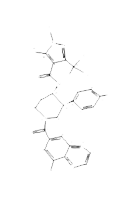 Cn1nc(C(F)(F)F)c(C(=O)N[C@@H]2CCN(C(=O)c3cc(Cl)c4nccnc4c3)C[C@@H]2c2ccc(F)cc2)c1Cl